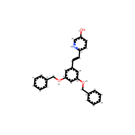 Oc1ccc(/C=C/c2cc(OCc3ccccc3)cc(OCc3ccccc3)c2)nc1